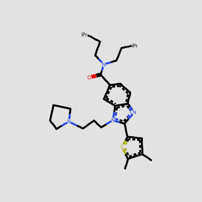 Cc1cc(-c2nc3ccc(C(=O)N(CCC(C)C)CCC(C)C)cc3n2CCCN2CCCC2)sc1C